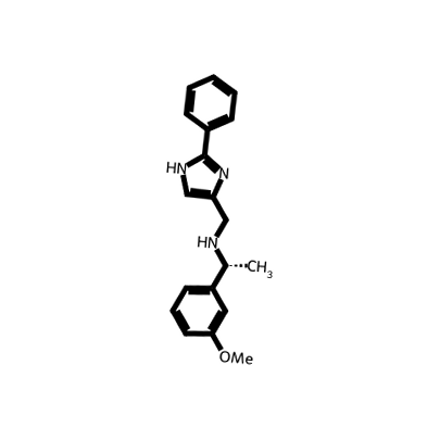 COc1cccc([C@@H](C)NCc2c[nH]c(-c3ccccc3)n2)c1